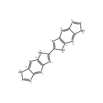 c1nc2nc3nc(-c4nc5nc6nc[nH]c6nc5[nH]4)[nH]c3cc2[nH]1